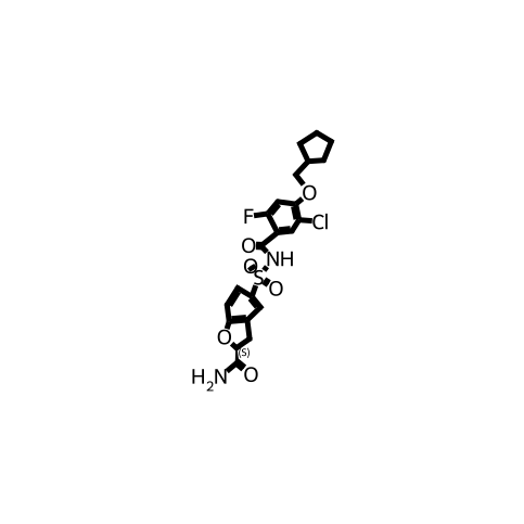 NC(=O)[C@@H]1Cc2cc(S(=O)(=O)NC(=O)c3cc(Cl)c(OCC4CCCC4)cc3F)ccc2O1